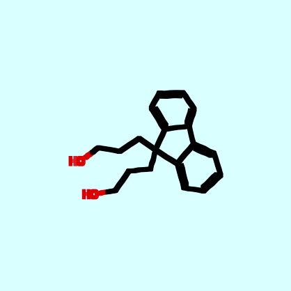 OCCCC1(CCCO)c2ccccc2-c2ccccc21